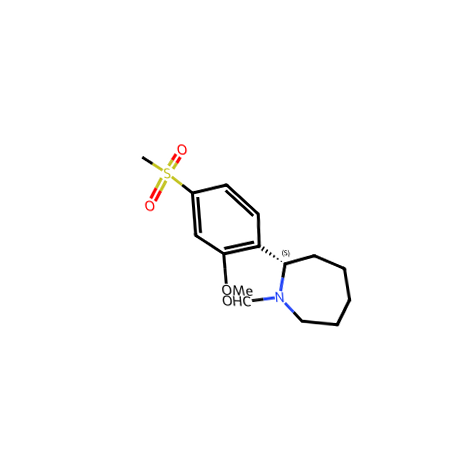 COc1cc(S(C)(=O)=O)ccc1[C@@H]1CCCCCN1C=O